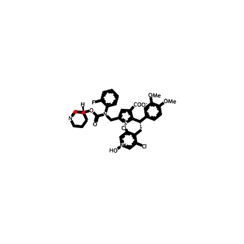 COc1ccc([C@H](Cc2c(Cl)c[n+](O)cc2Cl)c2sc(CN(C(=O)O[C@H]3CN4CCC3CC4)c3ccccc3F)cc2C(=O)[O-])cc1OC